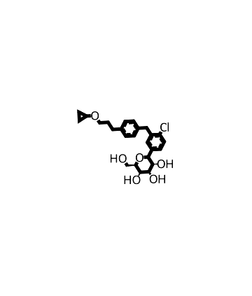 OC[C@H]1OC(c2ccc(Cl)c(Cc3ccc(CCCOC4CC4)cc3)c2)[C@H](O)[C@@H](O)[C@@H]1O